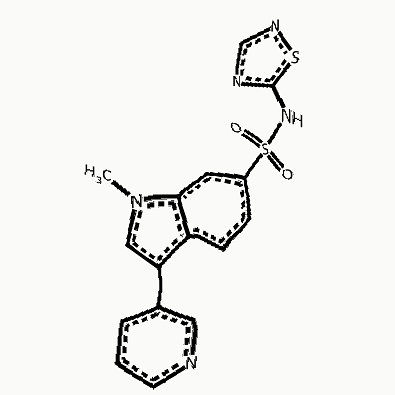 Cn1cc(-c2cccnc2)c2ccc(S(=O)(=O)Nc3ncns3)cc21